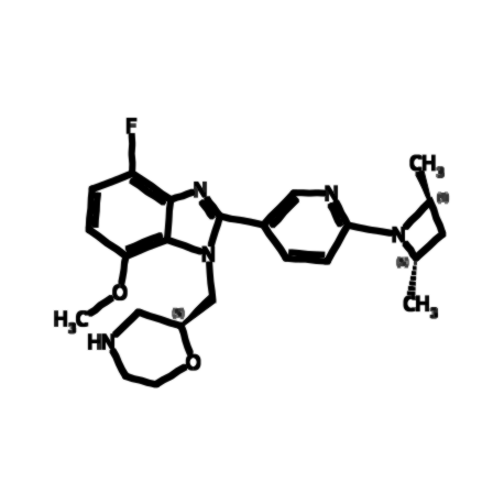 COc1ccc(F)c2nc(-c3ccc(N4[C@@H](C)C[C@@H]4C)nc3)n(C[C@@H]3CNCCO3)c12